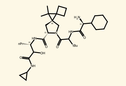 CCC[C@H](NC(=O)[C@@H]1C[C@@]2(CN1C(=O)C(NC(=O)[C@@H](N)C1CCCCC1)C(C)(C)C)C(C)(C)C21CCC1)C(O)C(=O)NC1CC1